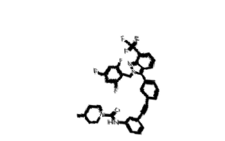 CC1CCN(C(=O)Nc2cccc(C#Cc3cccc(-c4c5cccc(C(F)(F)F)c5nn4Cc4c(F)cc(F)cc4F)c3)c2)CC1